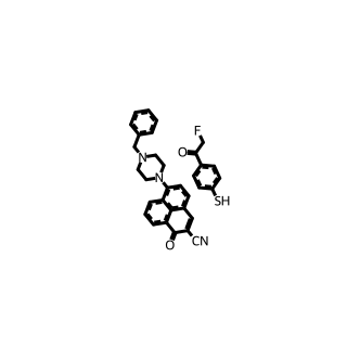 N#CC1=Cc2ccc(N3CCN(Cc4ccccc4)CC3)c3cccc(c23)C1=O.O=C(CF)c1ccc(S)cc1